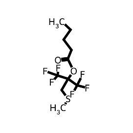 CCCCC(=O)OC(CSC)(C(F)(F)F)C(F)(F)F